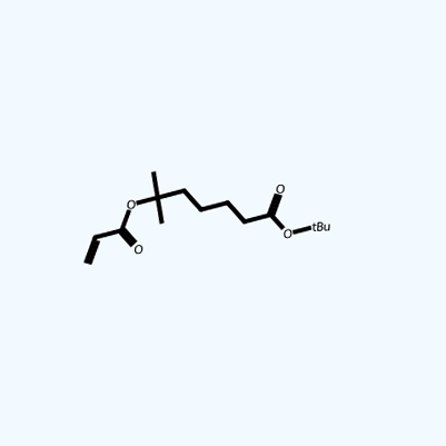 C=CC(=O)OC(C)(C)CCCCC(=O)OC(C)(C)C